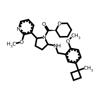 COc1ccc(C2(C)CCC2)cc1CNC1CCC(c2cccnc2OC)N1C(=O)[C@@H]1CCCCO1